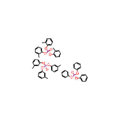 Cc1cccc(OP(=O)(Oc2cccc(C)c2)Oc2cccc(C)c2)c1.Cc1ccccc1OP(=O)(Oc1ccccc1C)Oc1ccccc1C.O=P(Oc1ccccc1)(Oc1ccccc1)Oc1ccccc1